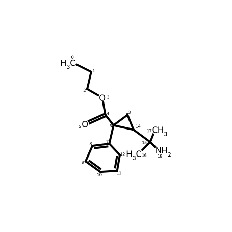 CCCOC(=O)C1(c2ccccc2)CC1C(C)(C)N